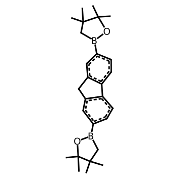 CC1(C)CB(c2ccc3c(c2)Cc2cc(B4CC(C)(C)C(C)(C)O4)ccc2-3)OC1(C)C